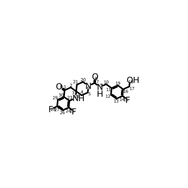 O=C1CC2(CCN(C(=O)NCc3ccc(F)c(CO)c3)CC2)Nc2c(F)cc(F)cc21